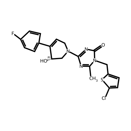 Cc1nc(N2CC=C(c3ccc(F)cc3)[C@@H](O)C2)nc(=O)n1Cc1ccc(Cl)s1